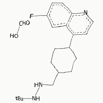 CC(C)(C)NNCC1CCC(c2ccnc3ccc(F)cc23)CC1.O=CO